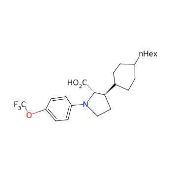 CCCCCCC1CCC([C@H]2CCN(c3ccc(OC(F)(F)F)cc3)[C@@H]2C(=O)O)CC1